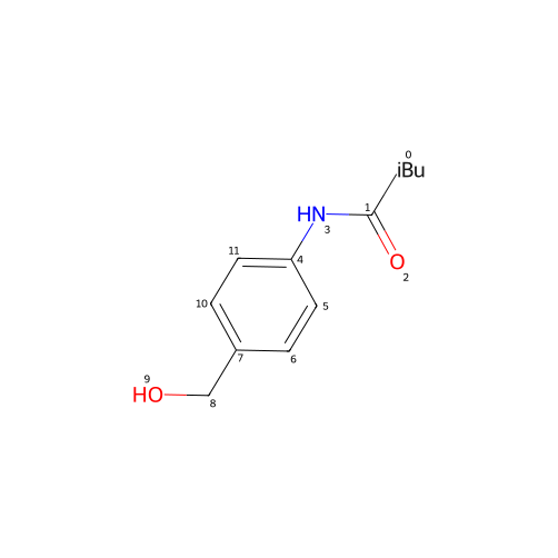 CCC(C)C(=O)Nc1ccc(CO)cc1